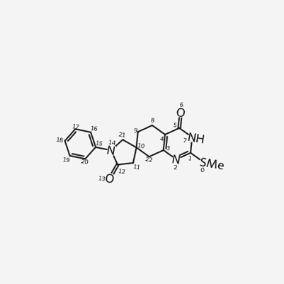 CSc1nc2c(c(=O)[nH]1)CCC1(CC(=O)N(c3ccccc3)C1)C2